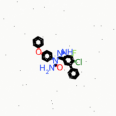 NC(=O)N(c1ccc(Oc2ccccc2)cc1)c1n[nH]c2c(F)c(Cl)c(-c3ccccc3)cc12